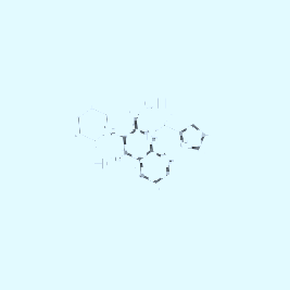 O.O=c1c(N2CCCCC2)c(O)c2cccnc2n1Cc1cccs1